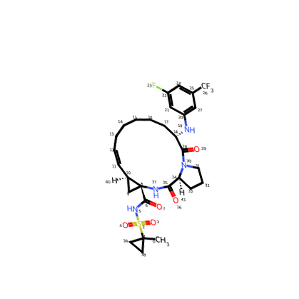 CC1(S(=O)(=O)NC(=O)[C@@]23C[C@H]2/C=C\CCCCC[C@H](Nc2cc(F)cc(C(F)(F)F)c2)C(=O)N2CCC[C@H]2C(=O)N3)CC1